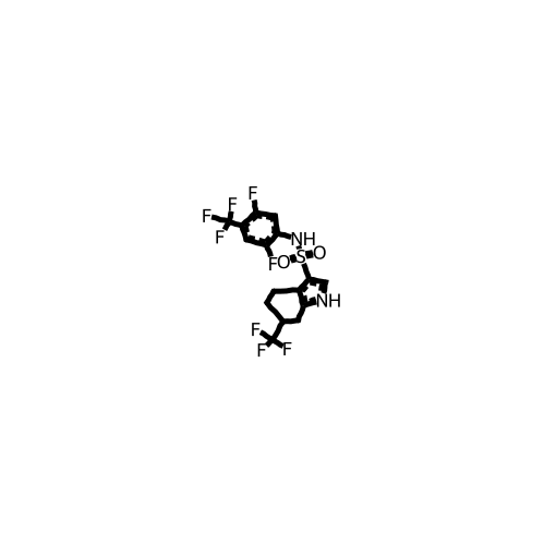 O=S(=O)(Nc1cc(F)c(C(F)(F)F)cc1F)c1c[nH]c2c1CCC(C(F)(F)F)C2